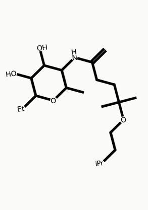 C=C(CCC(C)(C)OCCC(C)C)NC1C(C)OC(CC)C(O)C1O